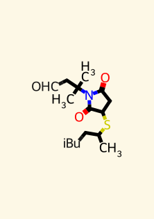 CCC(C)CC(C)SC1CC(=O)N(C(C)(C)CC=O)C1=O